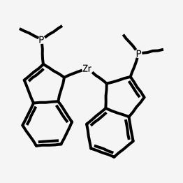 CP(C)C1=Cc2ccccc2[CH]1[Zr][CH]1C(P(C)C)=Cc2ccccc21